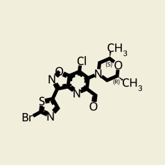 C[C@@H]1CN(c2c(C=O)nc3c(-c4cnc(Br)s4)noc3c2Cl)C[C@H](C)O1